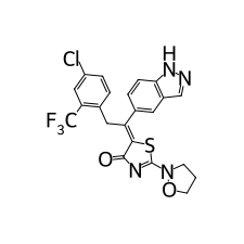 O=C1N=C(N2CCCO2)SC1=C(Cc1ccc(Cl)cc1C(F)(F)F)c1ccc2[nH]ncc2c1